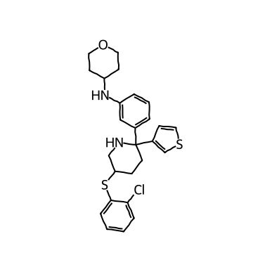 Clc1ccccc1SC1CCC(c2ccsc2)(c2cccc(NC3CCOCC3)c2)NC1